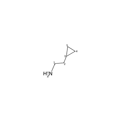 N[CH]CC1CC1